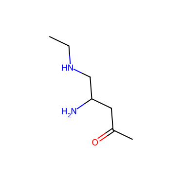 CCNCC(N)CC(C)=O